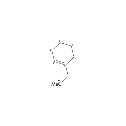 [CH2]OCC1=CCCCC1